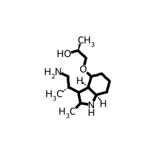 CC1N[C@@H]2CCCC(OC[C@H](C)O)[C@@H]2C1[C@H](C)CN